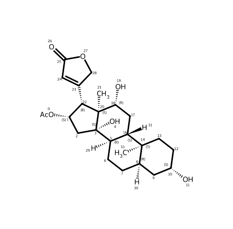 CC(=O)O[C@H]1C[C@]2(O)[C@@H]3CC[C@@H]4C[C@@H](O)CC[C@]4(C)[C@H]3C[C@@H](O)[C@]2(C)[C@H]1C1=CC(=O)OC1